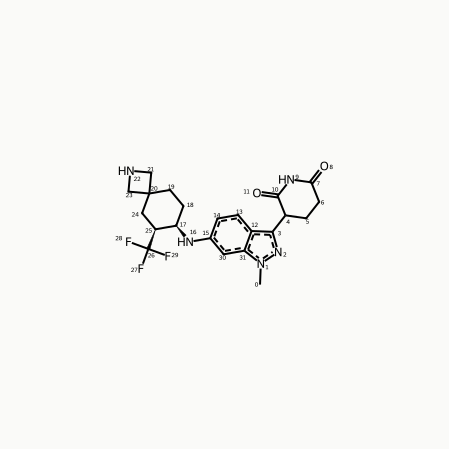 Cn1nc(C2CCC(=O)NC2=O)c2ccc(N[C@@H]3CCC4(CNC4)C[C@@H]3C(F)(F)F)cc21